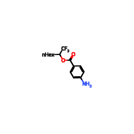 CCCCCCC(OC(=O)c1ccc(N)cc1)C(F)(F)F